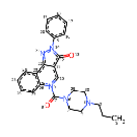 CCCN1CCN(C(=O)n2cc3c(=O)n(-c4ccccc4)nc-3c3ccccc32)CC1